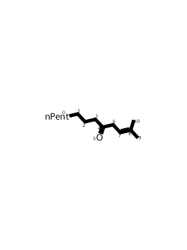 CCCCCCCCC(=O)CC=C(C)C